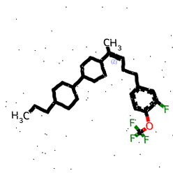 CCCC1CCC(C2CCC(/C(C)=C\CCc3ccc(OC(F)(F)F)c(F)c3)CC2)CC1